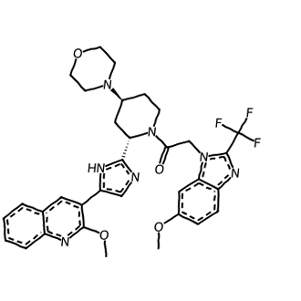 COc1ccc2nc(C(F)(F)F)n(CC(=O)N3CC[C@H](N4CCOCC4)C[C@H]3c3ncc(-c4cc5ccccc5nc4OC)[nH]3)c2c1